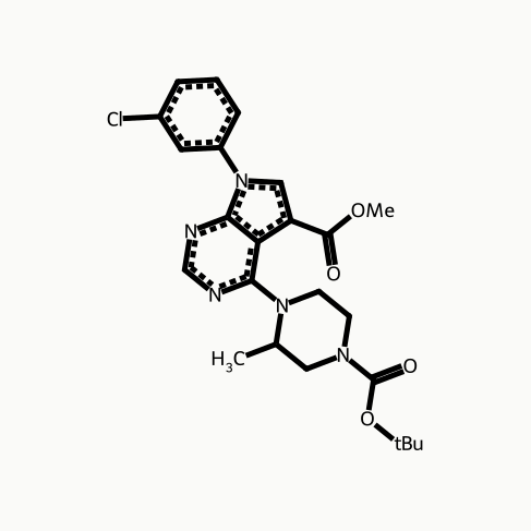 COC(=O)c1cn(-c2cccc(Cl)c2)c2ncnc(N3CCN(C(=O)OC(C)(C)C)CC3C)c12